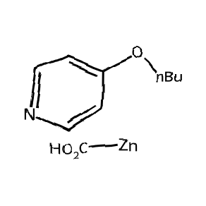 CCCCOc1ccncc1.O=[C](O)[Zn]